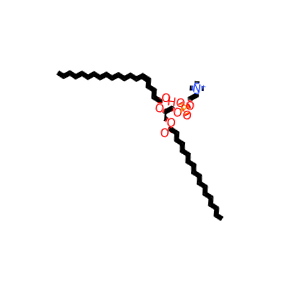 CCCCCCCCCCCCCC/C=C\CCCC(=O)O[C@H](COC(=O)CCCCCCCCCCCCCCCCC)COP(=O)(O)OCC[N+](C)(C)C